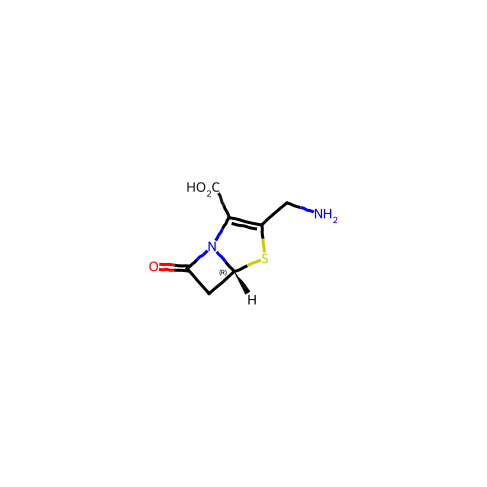 NCC1=C(C(=O)O)N2C(=O)C[C@H]2S1